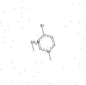 CCc1cc[n+](C)cc1.CS(=O)(=O)O